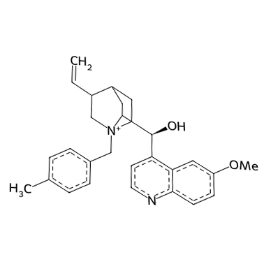 C=CC1C[N+]2(Cc3ccc(C)cc3)CCC1CC2[C@@H](O)c1ccnc2ccc(OC)cc12